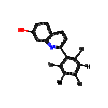 [2H]c1c([2H])c([2H])c(-c2ccc3ccc(O)cc3n2)c([2H])c1[2H]